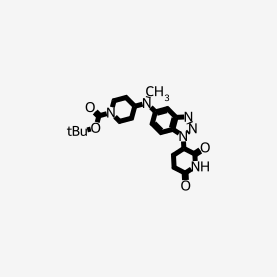 CN(c1ccc2c(c1)nnn2C1CCC(=O)NC1=O)C1CCN(C(=O)OC(C)(C)C)CC1